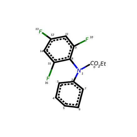 [CH2]COC(=O)N(c1ccccc1)c1c(F)cc(F)cc1F